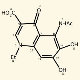 CCn1cc(C(=O)O)c(=O)c2c(NC(C)=O)c(O)c(O)cc21